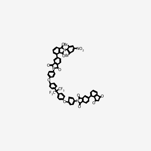 O=C1CC(=O)c2c1cccc2-c1ccc2c(c1)C(=O)N(c1ccc(Oc3ccc(C(c4ccc(Oc5ccc(N6C(=O)c7ccc(-c8cccc9c8C(=O)N(c8c(Br)cc([N+](=O)[O-])cc8Br)C9=O)cc7C6=O)cc5)cc4)(C(F)(F)F)C(F)(F)F)cc3)cc1)C2=O